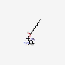 CCCCCCCCCCCC(=O)OCC(C)(C)C=C1C(N)CC(C)(C)CC1(C)N